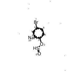 O=[SH]Oc1ccc(Br)cc1.[NaH]